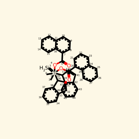 [CH3][Ti]([CH3])(=[SiH2])([O]C(=O)c1cccc2ccccc12)([O]C(=O)c1cccc2ccccc12)([CH]1C=Cc2ccccc21)[CH]1C=Cc2ccccc21